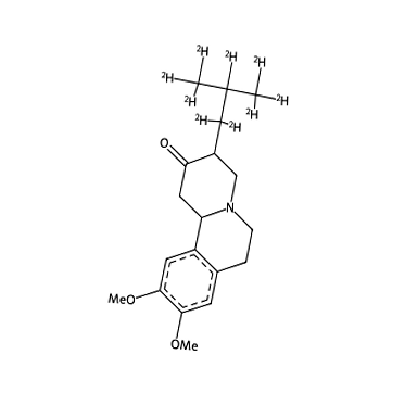 [2H]C([2H])([2H])C([2H])(C([2H])([2H])[2H])C([2H])([2H])C1CN2CCc3cc(OC)c(OC)cc3C2CC1=O